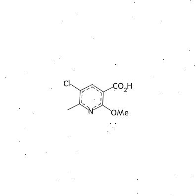 COc1nc(C)c(Cl)cc1C(=O)O